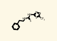 FC(F)(F)c1nnc(NC(=S)NCCc2ccccc2)s1